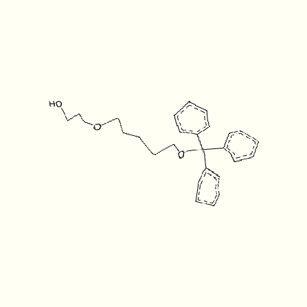 OCCOCCCCCOC(c1ccccc1)(c1ccccc1)c1ccccc1